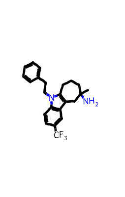 CC1(N)CCCc2c(c3cc(C(F)(F)F)ccc3n2CCc2ccccc2)C1